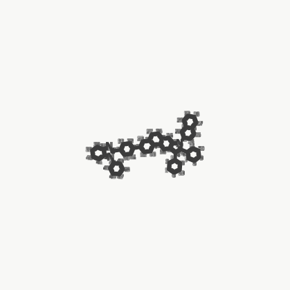 c1ccc(-c2c(-c3ccccc3)n(-c3ccc4ccccc4c3)c3cc4ccc5cc(-c6ccc(-c7nc8ccccc8n7-c7ccccc7)cc6)ccc5c4cc23)cc1